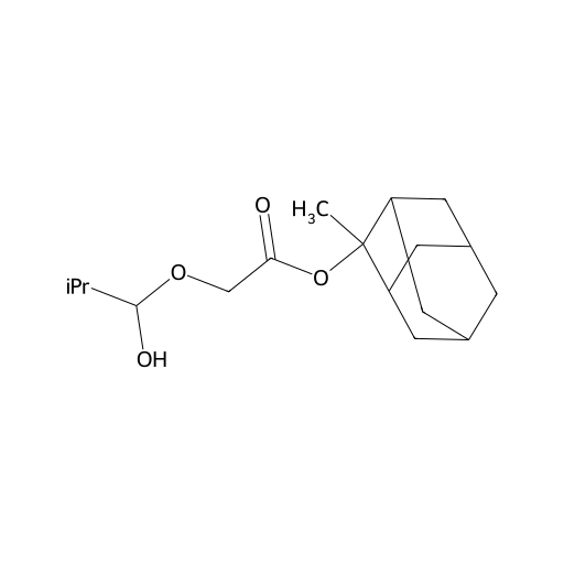 CC(C)C(O)OCC(=O)OC1(C)C2CC3CC(C2)CC1C3